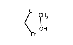 CCCCl.CO